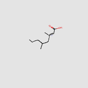 CCCC(C)C/C(C)=C/C(=O)O